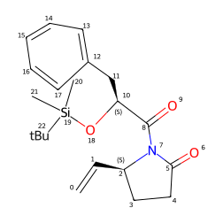 C=C[C@@H]1CCC(=O)N1C(=O)[C@H](Cc1ccccc1)O[Si](C)(C)C(C)(C)C